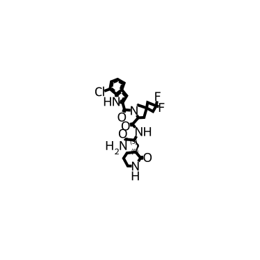 NC(=O)[C@H](C[C@@H]1CCCNC1=O)NC(=O)C1CC2(CN1C(=O)c1cc3cccc(Cl)c3[nH]1)CC(F)(F)C2